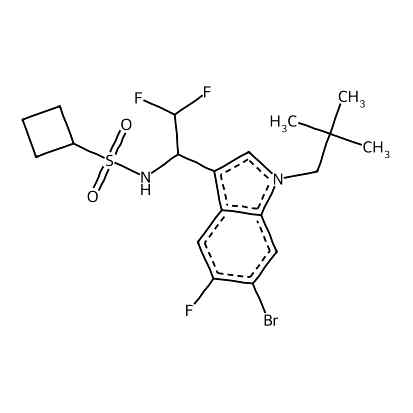 CC(C)(C)Cn1cc(C(NS(=O)(=O)C2CCC2)C(F)F)c2cc(F)c(Br)cc21